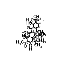 CC(=O)C1=C(O)C(C(C)C)[C@@]2(C)[C@H](CC(C)C)[C@]3(C)C(=C(O)[C@@]2(O)C1=O)C(=O)c1c(ccc(C(C)(C)C)c1O)[C@H]3C